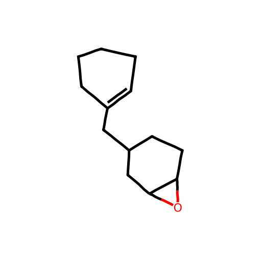 C1=C(CC2CCC3OC3C2)CCCC1